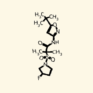 CC(C)(C)c1cc(NC(=O)C(C)(C)S(=O)(=O)N2CCC(F)C2)no1